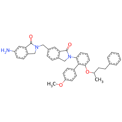 COc1ccc(-c2c(OC(C)CCc3ccccc3)cccc2N2Cc3ccc(CN4Cc5ccc(N)cc5C4=O)cc3C2=O)cc1